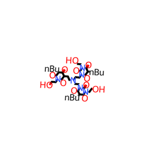 CCCCC1C(=O)C(CCN(CCN2C(=O)C(CCCC)C(=O)N(CCO)C2=O)CCN2C(=O)C(CCCC)C(=O)N(CCO)C2=O)C(=O)N(CCO)C1=O